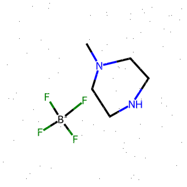 CN1CCNCC1.F[B-](F)(F)F